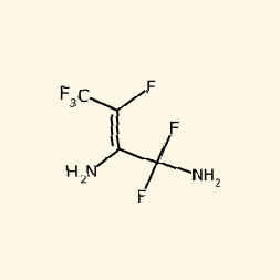 NC(=C(F)C(F)(F)F)C(N)(F)F